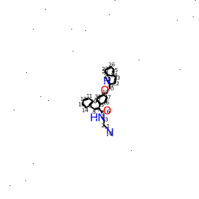 N#CCCNC(=O)/C(=C/c1ccccc1)c1ccc(OCc2ccc3ccccc3n2)cc1